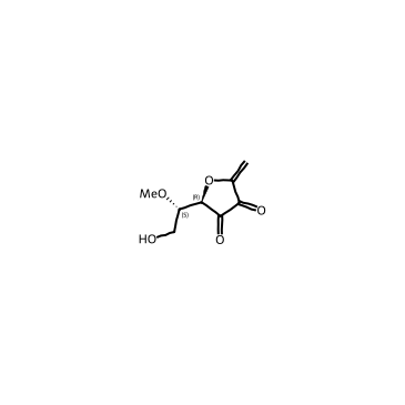 C=C1O[C@H]([C@H](CO)OC)C(=O)C1=O